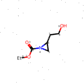 CCOC(=O)N1CC1CCO